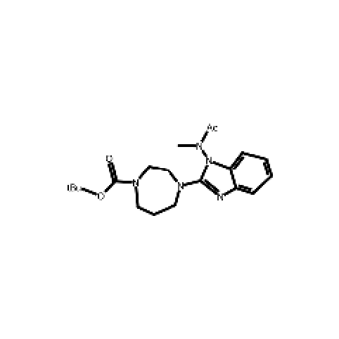 CC(=O)N(C)n1c(N2CCCN(C(=O)OC(C)(C)C)CC2)nc2ccccc21